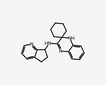 c1cnc2c(c1)CCC2NC1=Nc2ccccc2NC12CCCCC2